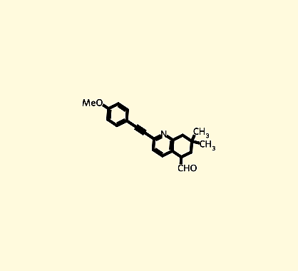 COc1ccc(C#Cc2ccc3c(n2)CC(C)(C)CC3C=O)cc1